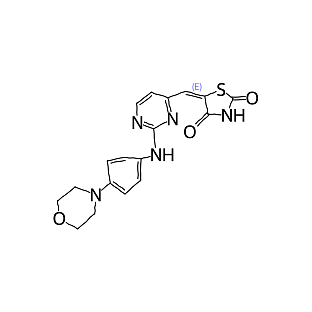 O=C1NC(=O)/C(=C\c2ccnc(Nc3ccc(N4CCOCC4)cc3)n2)S1